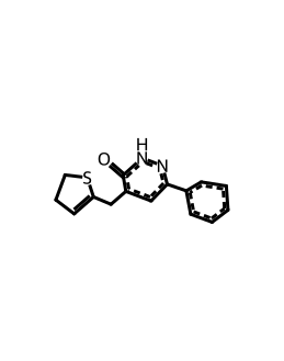 O=c1[nH]nc(-c2ccccc2)cc1CC1=CCCS1